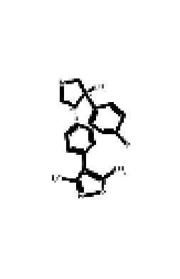 Cc1noc(C)c1-c1ccc([C@@H]2CNC[C@]2(C)c2ccc(F)cc2)cc1